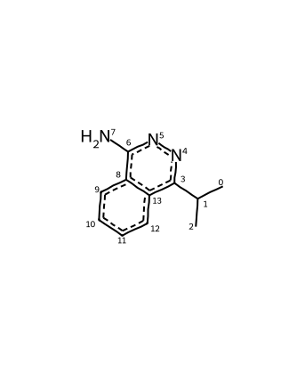 CC(C)c1nnc(N)c2ccccc12